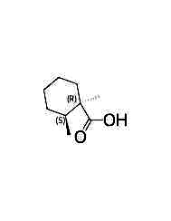 C[C@H]1CCCC[C@@]1(C)C(=O)O